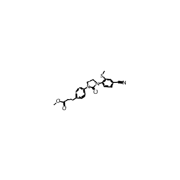 COC(=O)CCc1ccc(N2CCN(c3ccc(C#N)cc3SC)C2=O)cc1